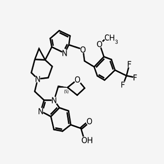 COc1cc(C(F)(F)F)ccc1COc1cccc(C23CCN(Cc4nc5ccc(C(=O)O)cc5n4C[C@@H]4CCO4)CC2C3)n1